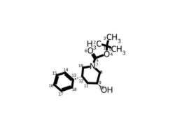 CC(C)(C)OC(=O)N1C[C@H](O)C[C@H](c2ccccc2)C1